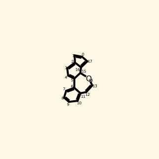 C1=CC2=CC=C3c4ccccc4C=COC3C2=C1